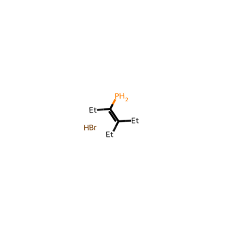 Br.CCC(P)=C(CC)CC